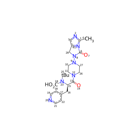 Cc1ncc2n1C(=O)N(N1CCN(C(=O)[C@@H](Cc3ccncc3)N(C(=O)O)C(C)(C)C)CC1)C2